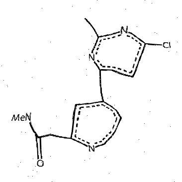 CNC(=O)c1cc(-c2cc(Cl)nc(C)n2)ccn1